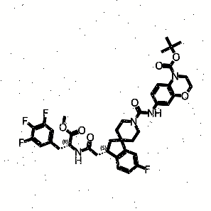 COC(=O)[C@@H](Cc1cc(F)c(F)c(F)c1)NC(=O)C[C@@H]1CC2(CCN(C(=O)Nc3ccc4c(c3)OCCN4C(=O)OC(C)(C)C)CC2)c2cc(F)ccc21